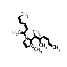 C=C/C=C\C(C)=C(/C)c1n(C(=C)/C=C\C=C/C)cc[n+]1C